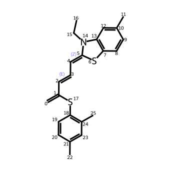 C=C(/C=C/C=C1\Sc2ccc(C)cc2N1CC)Sc1ccc(C)cc1C